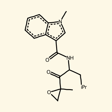 CC(C)CC(NC(=O)c1cn(C)c2ccccc12)C(=O)C1(C)CO1